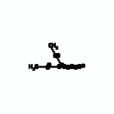 CCCCCCCCCOC(=O)CCCCCCCOCC(COCCOCCOCCOCCOCc1ccccc1)OCCCCCCCC(=O)OCCCCCCCCC